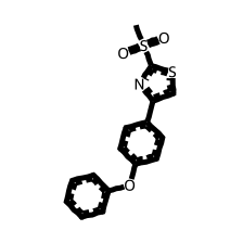 CS(=O)(=O)c1nc(-c2ccc(Oc3ccccc3)cc2)cs1